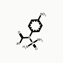 CC(C)C(=O)N(c1ccc([N+](=O)[O-])cc1)P(N)(N)=O